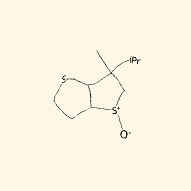 CC(C)C1(C)C[S+]([O-])C2CCSC21